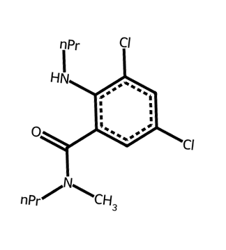 CCCNc1c(Cl)cc(Cl)cc1C(=O)N(C)CCC